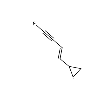 FC#CC=CC1[CH]C1